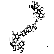 COc1cc(N2CCC(N3CCN(C(=O)CCCCNc4cccc5c4C(=O)N(C4CCC(=O)NC4=O)C5=O)CC3)CC2)ccc1Nc1ncc(Cl)c(Nc2ccccc2P(C)(C)=O)n1